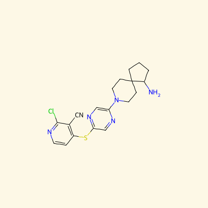 N#Cc1c(Sc2cnc(N3CCC4(CCCC4N)CC3)cn2)ccnc1Cl